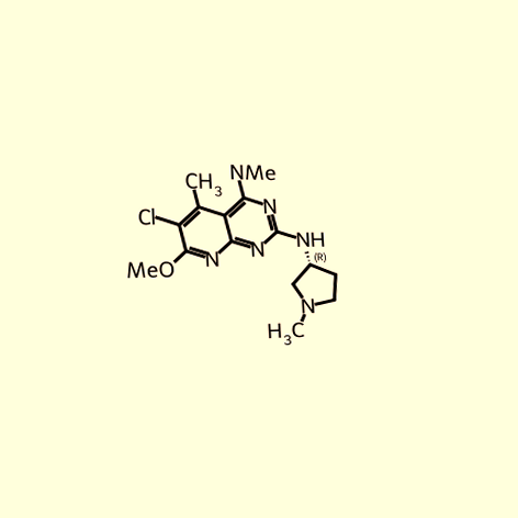 CNc1nc(N[C@@H]2CCN(C)C2)nc2nc(OC)c(Cl)c(C)c12